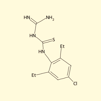 CCc1cc(Cl)cc(CC)c1NC(=S)NC(=N)N